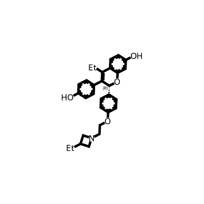 CCC1=C(c2ccc(O)cc2)[C@@H](c2ccc(OCCN3CC(CC)C3)cc2)Oc2cc(O)ccc21